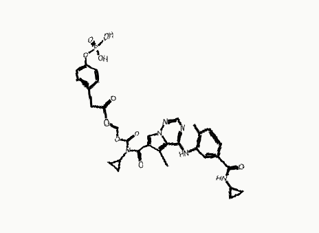 Cc1ccc(C(=O)NC2CC2)cc1Nc1ncnn2cc(C(=O)N(C(=O)OCOC(=O)Cc3ccc(OP(=O)(O)O)cc3)C3CC3)c(C)c12